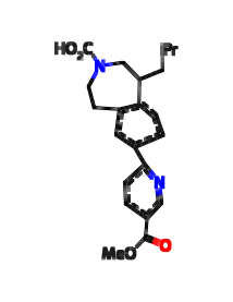 COC(=O)c1ccc(-c2ccc3c(c2)CCN(C(=O)O)CC3CC(C)C)nc1